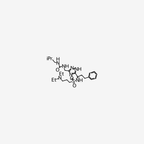 CCN(CC)CCCS(=O)(=O)N[C@H](CCc1ccccc1)c1nc(CNC(=O)NCC(C)C)n[nH]1